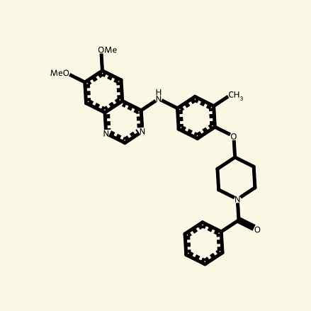 COc1cc2ncnc(Nc3ccc(OC4CCN(C(=O)c5ccccc5)CC4)c(C)c3)c2cc1OC